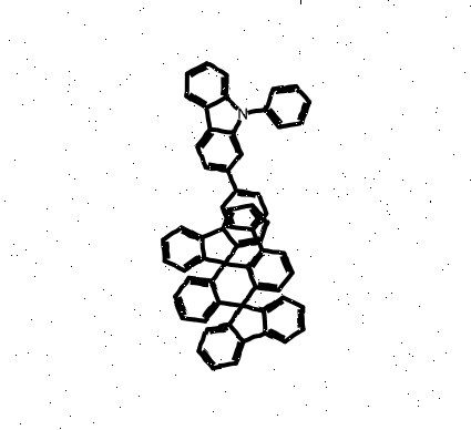 c1ccc(-n2c3ccccc3c3ccc(-c4ccc(-c5cccc6c5C5(c7ccccc7-c7ccccc75)c5ccccc5C65c6ccccc6-c6ccccc65)cc4)cc32)cc1